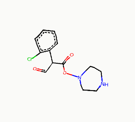 O=CC(C(=O)ON1CCNCC1)c1ccccc1Cl